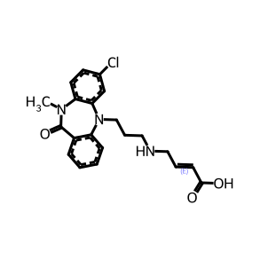 CN1C(=O)c2ccccc2N(CCCNC/C=C/C(=O)O)c2cc(Cl)ccc21